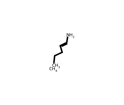 C.CCCC=CN